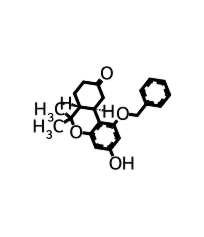 CC1(C)Oc2cc(O)cc(OCc3ccccc3)c2[C@@H]2CC(=O)CC[C@H]21